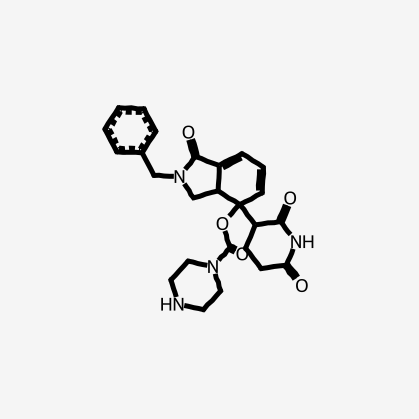 O=C1CCC(C2(OC(=O)N3CCNCC3)C=CC=C3C(=O)N(Cc4ccccc4)CC32)C(=O)N1